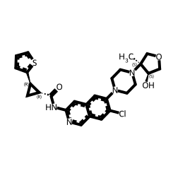 C[C@]1(N2CCN(c3cc4cc(NC(=O)[C@@H]5C[C@H]5c5cccs5)ncc4cc3Cl)CC2)COC[C@H]1O